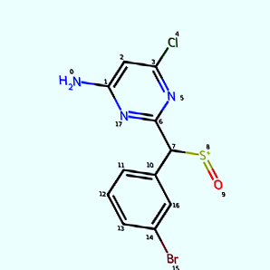 Nc1cc(Cl)nc(C([S+]=O)c2cccc(Br)c2)n1